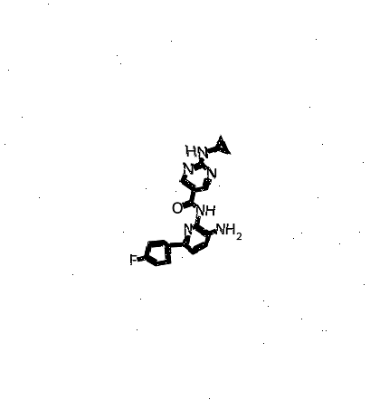 Nc1ccc(-c2ccc(F)cc2)nc1NC(=O)c1cnc(NC2CC2)nc1